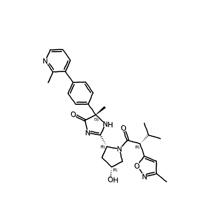 Cc1cc([C@H](C(=O)N2C[C@H](O)C[C@@H]2C2=NC(=O)[C@](C)(c3ccc(-c4cccnc4C)cc3)N2)C(C)C)on1